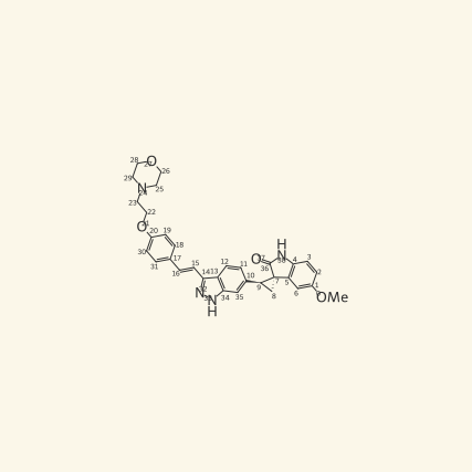 COc1ccc2c(c1)[C@]1(C[C@H]1c1ccc3c(C=Cc4ccc(OCCN5CCOCC5)cc4)n[nH]c3c1)C(=O)N2